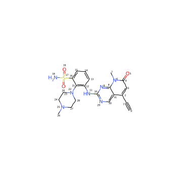 C#Cc1cc(=O)n(C)c2nc(Nc3cccc(S(N)(=O)=O)c3N3CCN(C)CC3)ncc12